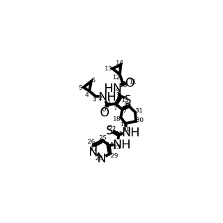 O=C(NCC1CC1)c1c(NC(=O)C2CC2)sc2c1CC(NC(=S)Nc1ccnnc1)CC2